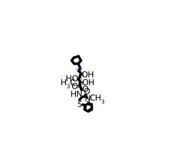 CO[C@@H](C(=O)NC1CSc2ccccc2N(C)C1=O)[C@H](O)[C@@H](O)[C@H](O)/C=C/C1CCCCC1